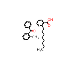 CCCCCCCCc1ccccc1C(=O)O.Cc1ccccc1C(=O)c1ccccc1